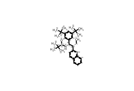 CC[C@H](c1ccc2ccccc2n1)[C@H](N[S+]([O-])C(C)(C)C)c1cc(C(C)(C)C)cc(C(C)(C)C)c1